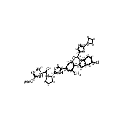 COC(=O)N[C@H](C(=O)N1CCC[C@H]1c1ncc(-c2cc(C)c3c(c2)OC(c2cnc(C4CCC4)s2)n2c-3cc3cc(Cl)ccc32)[nH]1)C(C)C